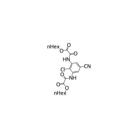 CCCCCCOC(=O)C(=O)Nc1cc(C#N)cc(NC(=O)C(=O)OCCCCCC)c1Cl